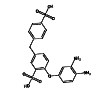 Nc1ccc(Oc2ccc(Cc3ccc(S(=O)(=O)O)cc3)cc2S(=O)(=O)O)cc1N